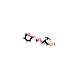 C/C(=C\O)COCOC1CCCCO1